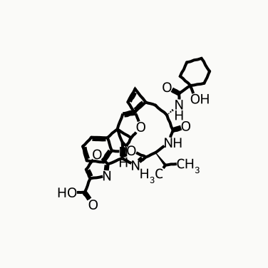 CC(C)[C@@H]1NC(=O)[C@@H](NC(=O)C2(O)CCCCC2)Cc2ccc3c(c2)C2(c4ccccc4NC2O3)c2oc1nc2-c1nc(C(=O)O)co1